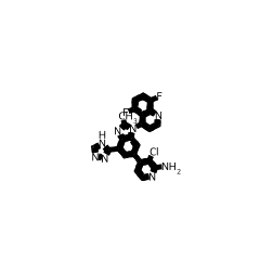 Cc1nc2c(-c3nnc[nH]3)cc(-c3ccnc(N)c3Cl)cc2n1-c1ccnc2c(F)ccc(F)c12